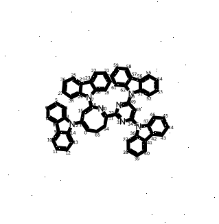 C1=C(n2c3ccccc3c3ccccc32)/C=C(n2c3ccccc3c3ccccc32)\N=C(\c2nc(-n3c4ccccc4c4ccccc43)cc(-n3c4ccccc4c4ccccc43)n2)CC\1